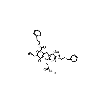 CCCC[C@@H](C(=O)NCCCc1ccccc1)N1CC2N(C(=O)OCCc3ccccc3)O[C@H](CC(C)C)C(=O)N2[C@@H](CCC(N)=O)C1=O